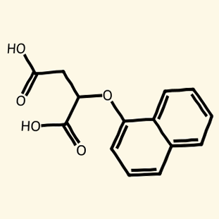 O=C(O)CC(Oc1cccc2ccccc12)C(=O)O